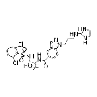 O=C(NCC(NS(=O)(=O)c1c(Cl)cccc1Cl)C(=O)O)c1ccc2c(cnn2CCCNC2NCCN2)c1